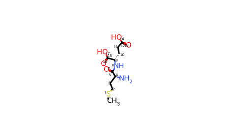 CSCC[C@H](N)C(=O)N[C@@H](CCC(=O)O)C(=O)O